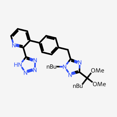 CCCCn1nc(C(CCCC)(OC)OC)nc1Cc1ccc(-c2cccnc2-c2nnn[nH]2)cc1